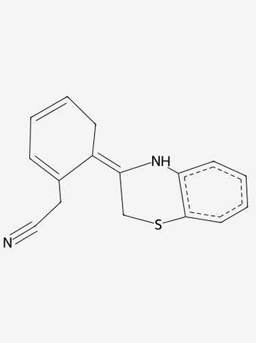 N#CCC1=CC=CCC1=C1CSc2ccccc2N1